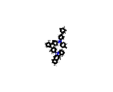 CC1=CC=C(N(c2ccc(-c3ccccc3)cc2)c2ccc(-c3ccccc3-c3ccc(-n4c5ccccc5c5cc6ccccc6cc54)cc3)cc2)CC1